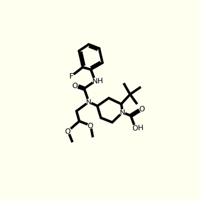 COC(CN(C(=O)Nc1ccccc1F)C1CCN(C(=O)O)C(C(C)(C)C)C1)OC